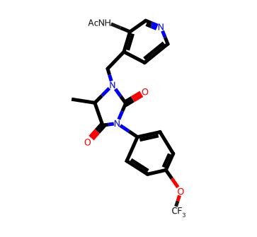 CC(=O)Nc1cnccc1CN1C(=O)N(c2ccc(OC(F)(F)F)cc2)C(=O)C1C